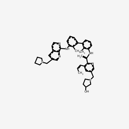 C=C(Nc1cccc(-c2cccc(Nc3nccc4cc(CN5CCCC5)cnc34)c2C)c1C)c1ncc(CN2CCC(O)C2)cc1/C=C\C